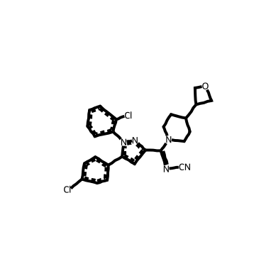 N#CN=C(c1cc(-c2ccc(Cl)cc2)n(-c2ccccc2Cl)n1)N1CCC(C2COC2)CC1